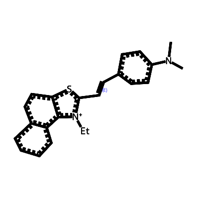 CC[n+]1c(/C=C/c2ccc(N(C)C)cc2)sc2ccc3ccccc3c21